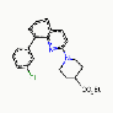 CCOC(=O)C1CCN(c2ccc3cccc(-c4cccc(Cl)c4)c3n2)CC1